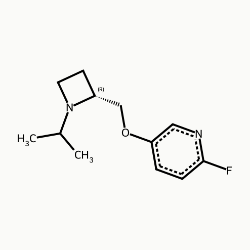 CC(C)N1CC[C@@H]1COc1ccc(F)nc1